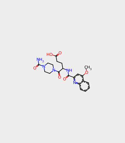 COc1cc(C(=O)NC(CCC(=O)O)C(=O)N2CCN(C(N)=O)CC2)nc2ccccc12